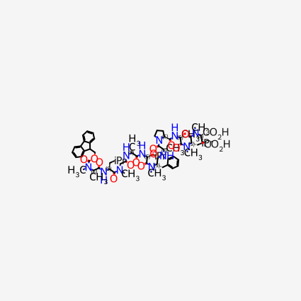 CC(C)C[C@H](NC(=O)[C@H](C)N(C)C(=O)OCC1c2ccccc2-c2ccccc21)C(=O)N(C)CC(=O)N[C@@H](C)C(=O)N[C@@H](CC(C)C)C(=O)N(C)[C@@H](Cc1ccccc1)C(=O)N[C@@H](C)C(=O)N1CCC[C@H]1C(=O)N[C@@H](C)C(=O)N(C)[C@@H](CC(C)C)C(=O)N(C)[C@@H](CC(=O)O)C(=O)O